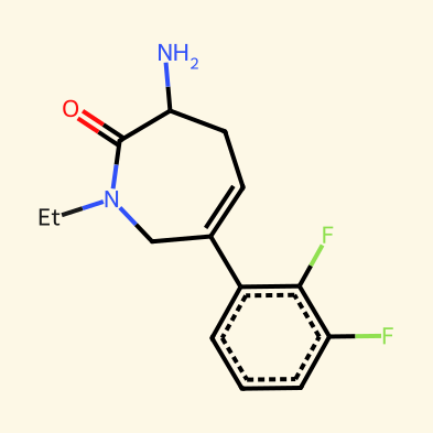 CCN1CC(c2cccc(F)c2F)=CCC(N)C1=O